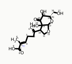 C=C(CC/C=C(\C)C(=O)O)C1COC2O[C@@H](CO)C(O)C(=O)C21O